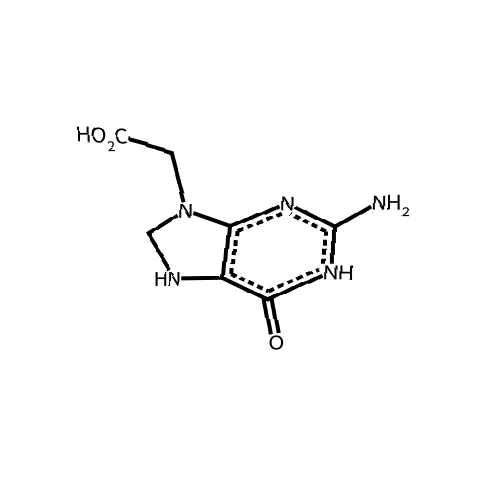 Nc1nc2c(c(=O)[nH]1)NCN2CC(=O)O